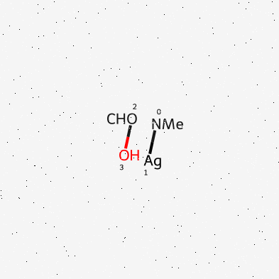 C[NH][Ag].O=CO